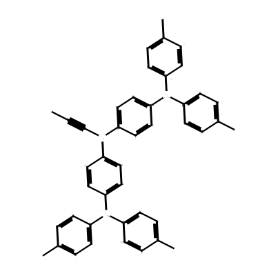 CC#CN(c1ccc(N(c2ccc(C)cc2)c2ccc(C)cc2)cc1)c1ccc(N(c2ccc(C)cc2)c2ccc(C)cc2)cc1